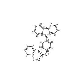 c1ccc2c(c1)COc1nc3ccc(-n4c5ccccc5c5ccccc54)cc3n1-2